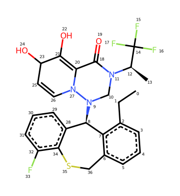 CCc1cccc2c1[C@H](N1CN([C@H](C)C(F)(F)F)C(=O)C3=C(O)C(O)C=CN31)c1cccc(F)c1SC2